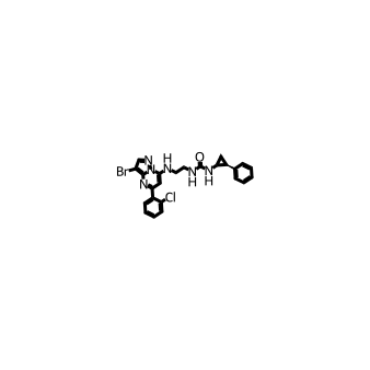 O=C(NCCNc1cc(-c2ccccc2Cl)nc2c(Br)cnn12)NC1C[C@H]1c1ccccc1